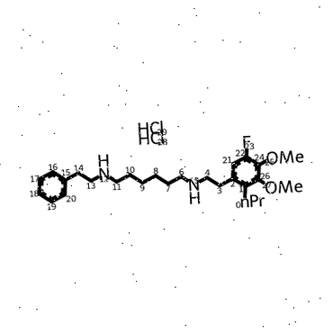 CCCc1c(CCNCCCCCCNCCc2ccccc2)cc(F)c(OC)c1OC.Cl.Cl